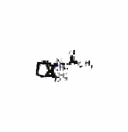 CC(=O)O/N=C1\C(=O)C2CCC1C2(C)C